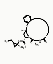 C=CC1C[C@]1(NC(=O)[C@@H]1C[C@@H]2CN1C(=O)[C@H](CCCC)NC(=O)OCCCCCCCc1ccccc1O2)C(=O)O